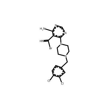 N=C(Br)c1c(N)ncnc1N1CCN(Cc2ccc(Cl)c(Cl)c2)CC1